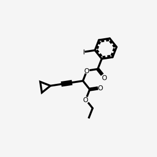 CCOC(=O)C(C#CC1CC1)OC(=O)c1ccccc1I